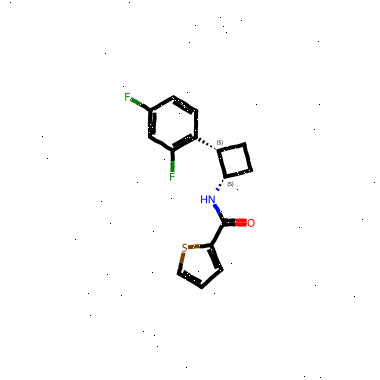 O=C(N[C@H]1CC[C@H]1c1ccc(F)cc1F)c1cccs1